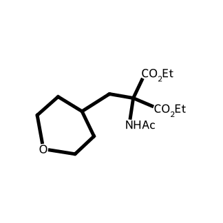 CCOC(=O)C(CC1CCOCC1)(NC(C)=O)C(=O)OCC